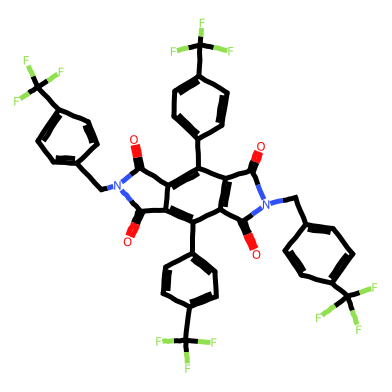 O=c1c2c(-c3ccc(C(F)(F)F)cc3)c3c(=O)n(Cc4ccc(C(F)(F)F)cc4)c(=O)c3c(-c3ccc(C(F)(F)F)cc3)c2c(=O)n1Cc1ccc(C(F)(F)F)cc1